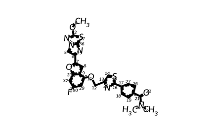 COc1nn2cc(-c3cc4c(OCc5csc(-c6ccc(C(=O)N(C)C)cc6)n5)cc(F)cc4o3)nc2s1